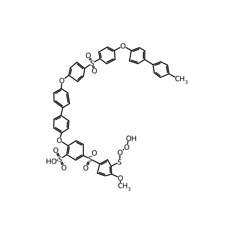 COc1ccc(S(=O)(=O)c2ccc(Oc3ccc(-c4ccc(Oc5ccc(S(=O)(=O)c6ccc(Oc7ccc(-c8ccc(C)cc8)cc7)cc6)cc5)cc4)cc3)c(S(=O)(=O)O)c2)cc1SOOO